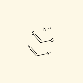 S=C[S-].S=C[S-].[Ni+2]